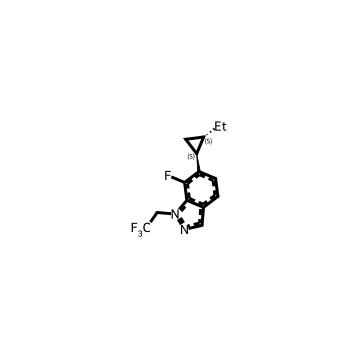 CC[C@H]1C[C@@H]1c1ccc2cnn(CC(F)(F)F)c2c1F